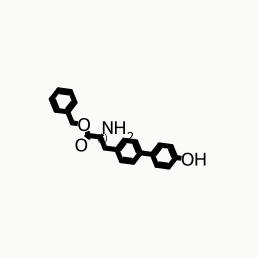 N[C@@H](Cc1ccc(-c2ccc(O)cc2)cc1)C(=O)OCc1ccccc1